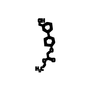 CCOC(=O)COc1ccc(-c2cccc(CO)c2)cc1